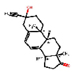 C#CC1(O)CC[C@@]2(C)C(=CC=C3[C@H]2CC[C@]2(C)C(=O)CC[C@@H]32)C1